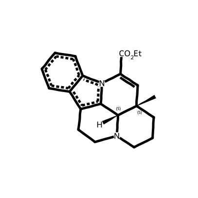 CCOC(=O)C1=C[C@]2(C)CCCN3CCc4c(n1c1ccccc41)[C@@H]32